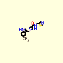 O=C(NCc1cncs1)C1CN(Cc2c[nH]c3ccc(C(F)(F)F)cc23)C1